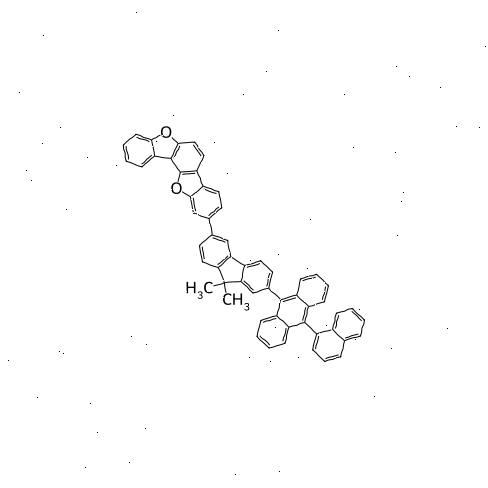 CC1(C)c2ccc(-c3ccc4c(c3)oc3c4ccc4oc5ccccc5c43)cc2-c2ccc(-c3c4ccccc4c(-c4cccc5ccccc45)c4ccccc34)cc21